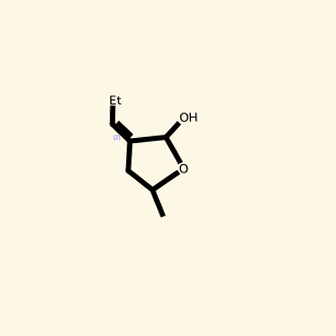 CC/C=C1/CC(C)OC1O